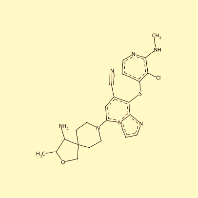 CNc1nccc(Sc2c(C#N)cc(N3CCC4(CC3)COC(C)C4N)n3ccnc23)c1Cl